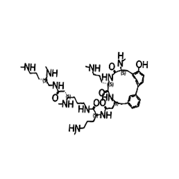 CNCCC[C@@H](CNC(=O)C[C@H](CCCNC(=O)[C@H](CCCNC)NC(=O)C[C@@H]1Cc2cccc(c2)-c2ccc(O)c(c2)C[C@H](NC)C(=O)N[C@@H](CCCNC)C(=O)N1)NC)NC